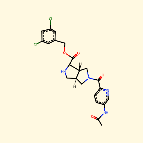 CC(=O)Nc1ccc(C(=O)N2C[C@H]3CNC(C(=O)OCc4cc(Cl)cc(Cl)c4)[C@@H]3C2)nc1